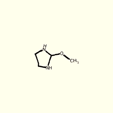 CO[C]1NCCN1